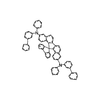 c1ccc(-c2cccc(N(c3ccccc3)c3ccc4c5c(ccc4c3)-c3ccc4cc(N(c6ccccc6)c6cccc(-c7ccccc7)c6)ccc4c3C53c4ccccc4-c4ccccc43)c2)cc1